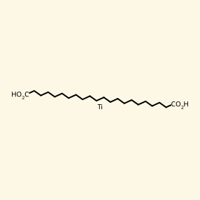 O=C(O)CCCCCCCCCCCCCCCCCCCCC(=O)O.[Ti]